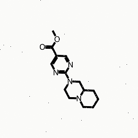 COC(=O)c1cnc(N2CCN3CCCCC3C2)nc1